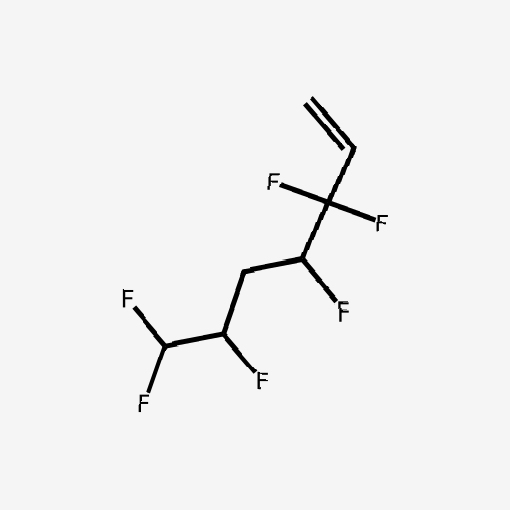 C=CC(F)(F)C(F)CC(F)C(F)F